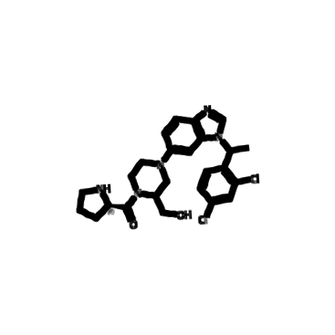 CC(c1ccc(Cl)cc1Cl)n1cnc2ccc(N3CCN(C(=O)[C@H]4CCCN4)C(CO)C3)cc21